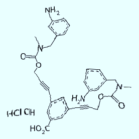 CN(Cc1cccc(N)c1)C(=O)OCC#Cc1cc(C#CCOC(=O)N(C)Cc2cccc(N)c2)cc(C(=O)O)c1.Cl.Cl